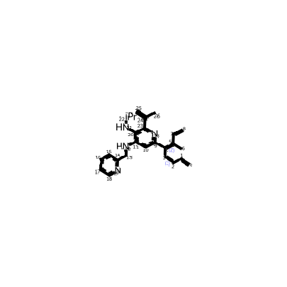 C=C/C=C\C(=C(/C)C=C)c1cc(NCc2ccccn2)c(NC(C)C)c(C(=C)C)n1